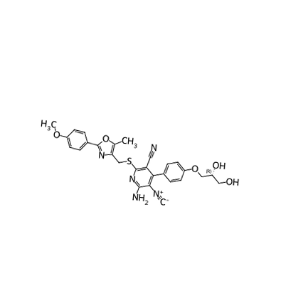 [C-]#[N+]c1c(N)nc(SCc2nc(-c3ccc(OC)cc3)oc2C)c(C#N)c1-c1ccc(OC[C@H](O)CO)cc1